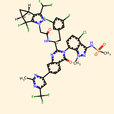 Cc1nc(-c2ccc3c(=O)n(-c4ccc(Cl)c5c(NS(C)(=O)=O)nn(C)c45)c([C@H](Cc4cc(F)cc(F)c4)NC(=O)Cn4nc(C(F)F)c5c4C(F)(F)[C@@H]4C[C@H]54)nc3c2)cc(C(F)(F)F)n1